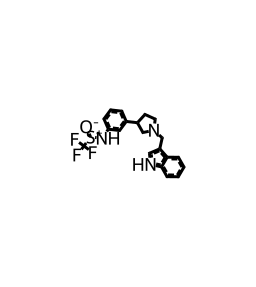 [O-][S+](Nc1cccc(C2CCN(Cc3c[nH]c4ccccc34)C2)c1)C(F)(F)F